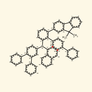 CC1(C)c2ccccc2-c2ccc(-c3cccc(N(c4ccc(-c5ccccc5)c(-c5ccccc5)c4)c4cccc5ccccc45)c3-c3ccc(-c4ccccc4)cc3)cc21